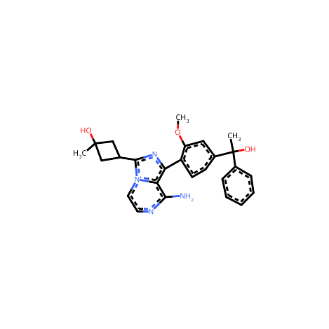 COc1cc(C(C)(O)c2ccccc2)ccc1-c1nc(C2CC(C)(O)C2)n2ccnc(N)c12